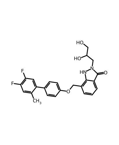 Cc1cc(F)c(F)cc1-c1ccc(OCc2cccc3c(=O)n(CC(O)CO)[nH]c23)cc1